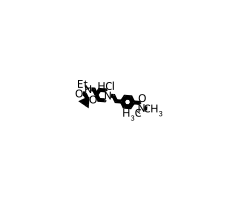 CCN1CC2(CCN(CCc3ccc(C(=O)N(C)C)cc3)CC2)OC2(CC2)C1=O.Cl